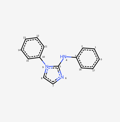 c1ccc(Nc2nccn2-c2ccccc2)cc1